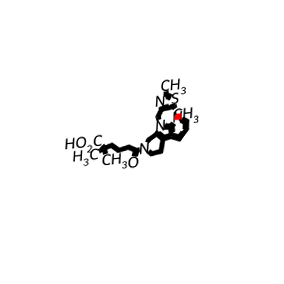 Cc1nc(Cn2c3c(c4cccnc42)CCN(C(=O)CCCC(C)(C)C(=O)O)C3)c(C)s1